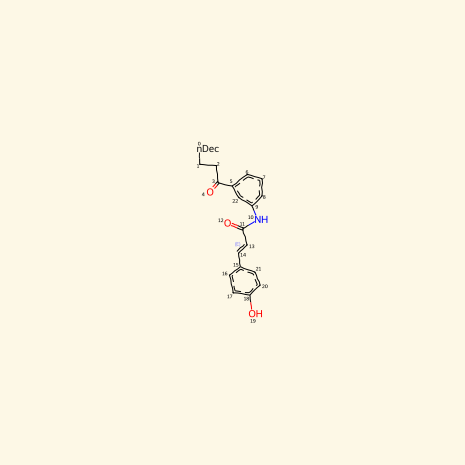 CCCCCCCCCCCCC(=O)c1cccc(NC(=O)/C=C/c2ccc(O)cc2)c1